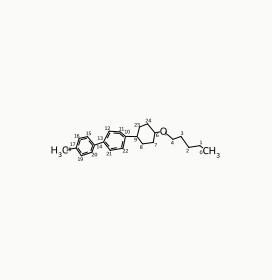 CCCCCOC1CCC(c2ccc(-c3ccc(C)cc3)cc2)CC1